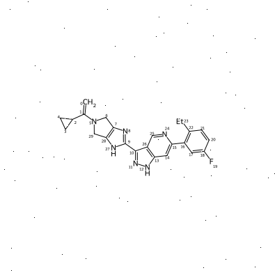 C=C(C1CC1)N1Cc2nc(-c3n[nH]c4cc(-c5cc(F)ccc5CC)ncc34)[nH]c2C1